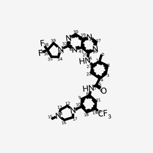 Cc1ccc(C(=O)Nc2cc(N3CCN(C)CC3)cc(C(F)(F)F)c2)cc1Nc1ncnc2cnc(N3CCC(F)(F)C3)nc12